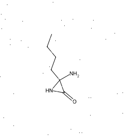 CCCCC1(N)NC1=O